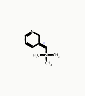 C[Si](C)(C)/C=C1\C=CC=NC1